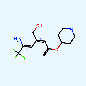 C=C(/C=C(\C=C(/N)C(F)(F)F)CO)OC1CCNCC1